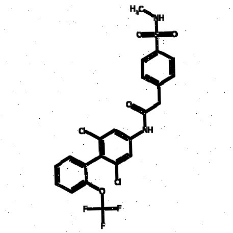 CNS(=O)(=O)c1ccc(CC(=O)Nc2cc(Cl)c(-c3ccccc3OC(F)(F)F)c(Cl)c2)cc1